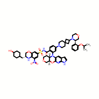 CC(C)Oc1ccccc1[C@@H]1COCCN1C1CC2(CCN(c3ccc(C(=O)NS(=O)(=O)c4cc5c(c([N+](=O)[O-])c4)N[C@H](CC4CCC(O)CC4)CO5)c(N4c5cc6cc[nH]c6nc5O[C@H]5COCC[C@@H]54)c3)CC2)C1